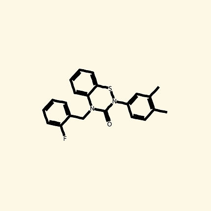 Cc1ccc(N2Sc3ccccc3N(Cc3ccccc3F)C2=O)cc1C